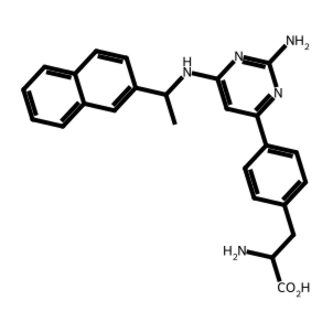 CC(Nc1cc(-c2ccc(CC(N)C(=O)O)cc2)nc(N)n1)c1ccc2ccccc2c1